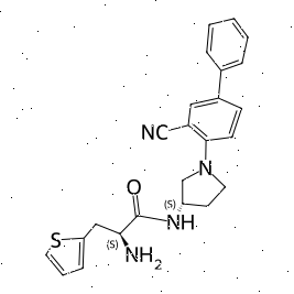 N#Cc1cc(-c2ccccc2)ccc1N1CC[C@H](NC(=O)[C@@H](N)Cc2cccs2)C1